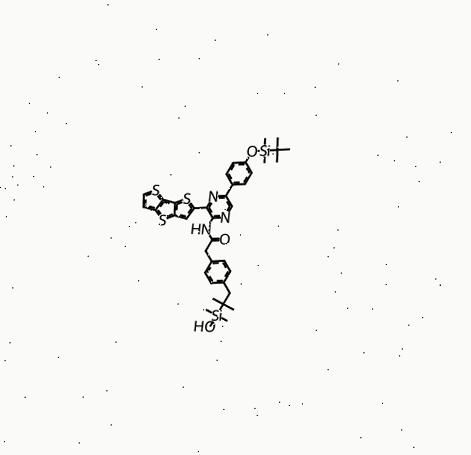 CC(C)(Cc1ccc(CC(=O)Nc2ncc(-c3ccc(O[Si](C)(C)C(C)(C)C)cc3)nc2-c2cc3sc4ccsc4c3s2)cc1)[Si](C)(C)O